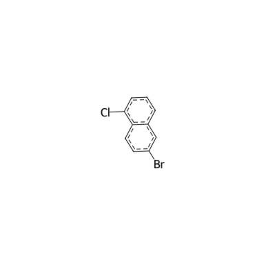 Clc1cccc2cc(Br)ccc12